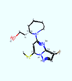 CSc1cc(N2CCCC[C@H]2CCO)nc2c(Br)cnn12